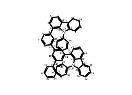 C1=Cc2c(c3cccc(-c4cccc(-c5cc(-c6ccccc6)cc(-c6cccc7c8ccccc8n(-c8ccccc8)c67)c5)c4)c3n2-c2ccccc2)CC1